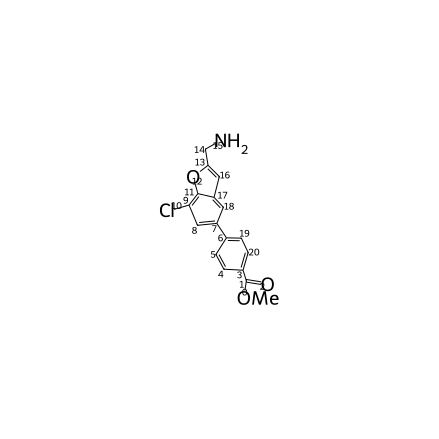 COC(=O)c1ccc(-c2cc(Cl)c3oc(CN)cc3c2)cc1